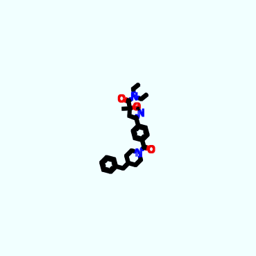 CCN(CC)C(=O)C1(C)CC(c2ccc(C(=O)N3CCC(Cc4ccccc4)CC3)cc2)=NO1